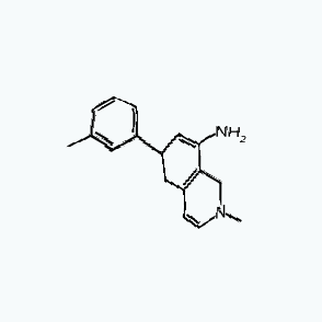 Cc1cccc(C2C=C(N)C3=C(C=CN(C)C3)C2)c1